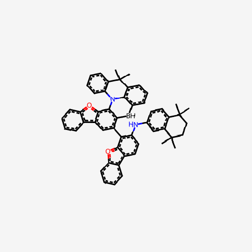 CC1(C)CCC(C)(C)c2cc(Nc3ccc4c(oc5ccccc54)c3-c3cc4c(oc5ccccc54)c4c3Bc3cccc5c3N4c3ccccc3C5(C)C)ccc21